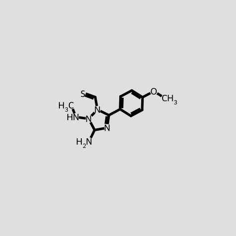 CNN1C(N)N=C(c2ccc(OC)cc2)N1C=S